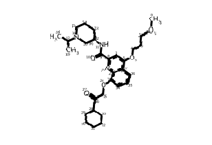 COCCCOc1cc(C(=O)N[C@@H]2CCCN(C(C)C)C2)nc2c(OCC(=O)C3CCCCC3)cccc12